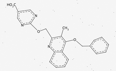 Cc1c(COc2ncc(C(=O)O)cn2)nc2ccccc2c1OCc1ccccc1